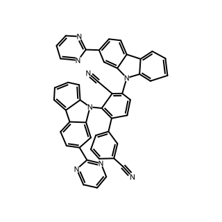 N#Cc1cccc(-c2ccc(-n3c4ccccc4c4ccc(-c5ncccn5)cc43)c(C#N)c2-n2c3ccccc3c3ccc(-c4ncccn4)cc32)c1